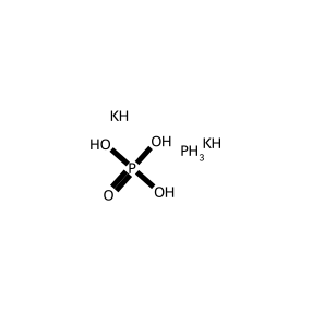 O=P(O)(O)O.P.[KH].[KH]